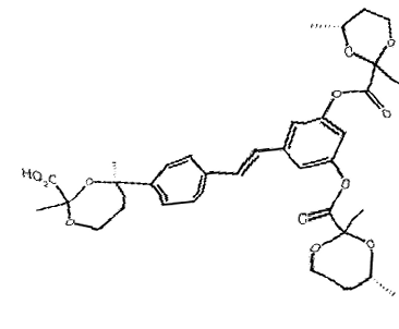 C[C@@H]1CCOC(C)(C(=O)Oc2cc(/C=C/c3ccc([C@@]4(C)CCOC(C)(C(=O)O)O4)cc3)cc(OC(=O)C3(C)OCC[C@@H](C)O3)c2)O1